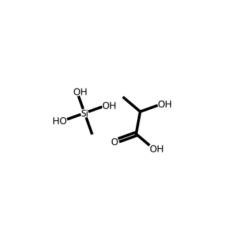 CC(O)C(=O)O.C[Si](O)(O)O